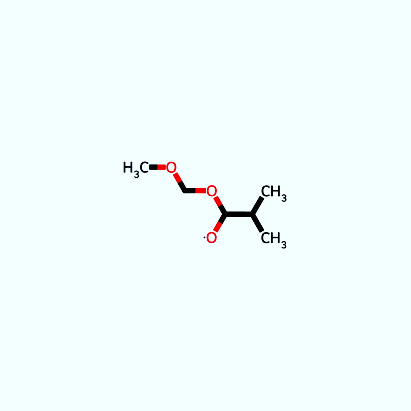 COCOC([O])C(C)C